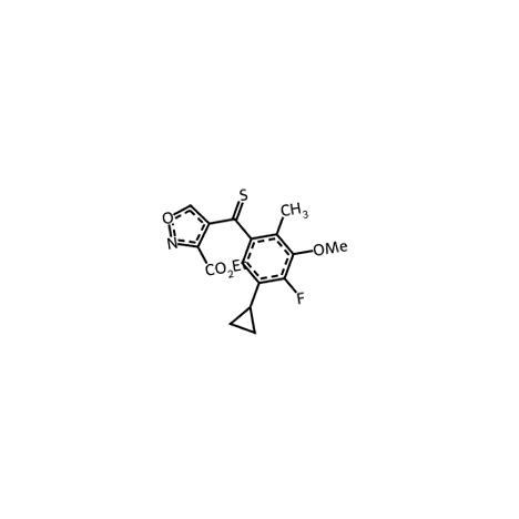 CCOC(=O)c1nocc1C(=S)c1cc(C2CC2)c(F)c(OC)c1C